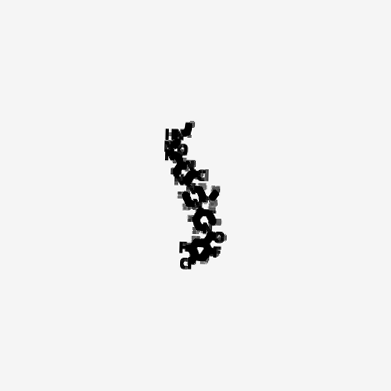 CCNc1nnc(-c2cnc(N3CCN(C4CCN(C(=O)c5cc(F)c(Cl)cc5F)CC4)[C@@H](CC)C3)c(Cl)n2)o1